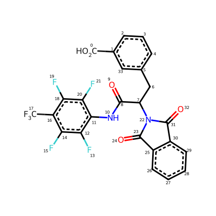 O=C(O)c1cccc(CC(C(=O)Nc2c(F)c(F)c(C(F)(F)F)c(F)c2F)N2C(=O)c3ccccc3C2=O)c1